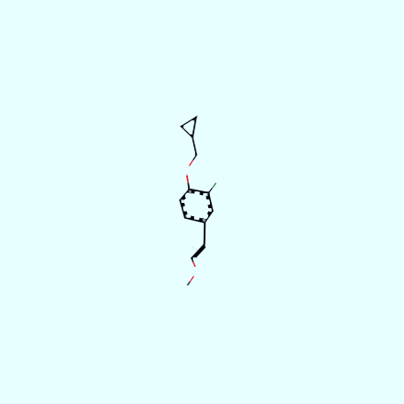 CO/C=C/c1ccc(OCC2CC2)c(Cl)c1